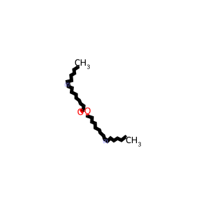 CCCCCC/C=C\CCCCCCCCOC(=O)CCCCCCC/C=C\CCCCCC